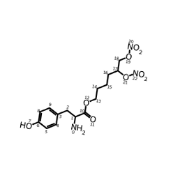 NC(Cc1ccc(O)cc1)C(=O)OCCCCC(CO[N+](=O)[O-])O[N+](=O)[O-]